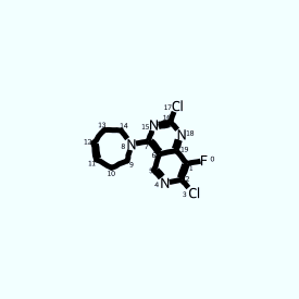 Fc1c(Cl)ncc2c(N3CCC=CCC3)nc(Cl)nc12